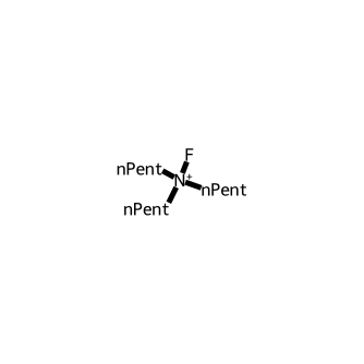 CCCCC[N+](F)(CCCCC)CCCCC